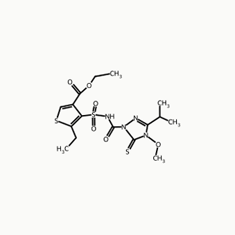 CCOC(=O)c1csc(CC)c1S(=O)(=O)NC(=O)n1nc(C(C)C)n(OC)c1=S